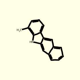 Cc1cccc2c1[nH]c1cc3ccccc3cc12